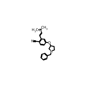 CN(C)C=Cc1cc(OC2CCN(Cc3ccccc3)C2)ccc1C#N